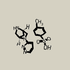 Cc1ccc(S(=O)(=O)O)cc1.c1cnnc(N2C[C@H]3C[C@@H]2CN3)c1